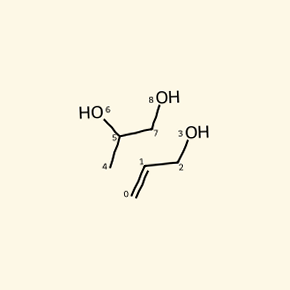 C=CCO.CC(O)CO